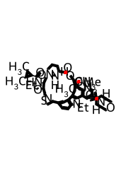 CCO[C@@H]1C2=NC(CS2)c2ccc3c(c2)c(c(-c2cc(C4C[C@H]5COC[C@H](C4)N5C4COC4)cnc2[C@H](C)OC)n3CC)CC(C)(C)COC(=O)[C@@H]2CCCN(N2)C(=O)[C@H]1NC(=O)[C@H]1[C@H](C)[C@@H]1C